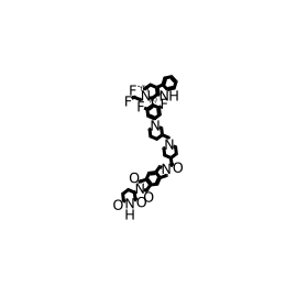 C[C@@H]1Cc2c([nH]c3ccccc23)[C@@H](c2c(F)cc(N3CCCC(CN4CCC(C(=O)N5Cc6cc7c(cc6C5)C(=O)N(C5CCC(=O)NC5=O)C7=O)CC4)C3)cc2F)N1CC(F)F